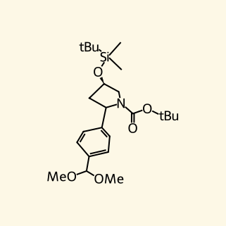 COC(OC)c1ccc(C2C[C@@H](O[Si](C)(C)C(C)(C)C)CN2C(=O)OC(C)(C)C)cc1